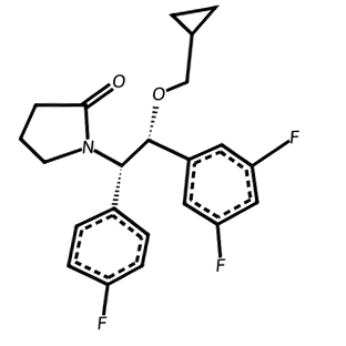 O=C1CCCN1[C@@H](c1ccc(F)cc1)[C@H](OCC1CC1)c1cc(F)cc(F)c1